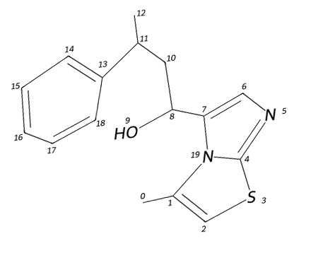 Cc1csc2ncc(C(O)CC(C)c3ccccc3)n12